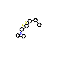 c1ccc(-c2cccc(-c3ccc4sc5c(ccc6c7cc(-n8c9ccccc9c9ccccc98)ccc7sc65)c4c3)c2)cc1